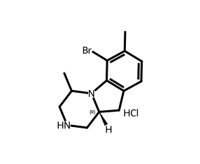 Cc1ccc2c(c1Br)N1C(C)CNC[C@H]1C2.Cl